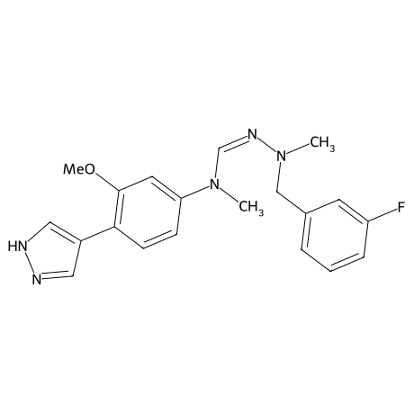 COc1cc(N(C)/C=N\N(C)Cc2cccc(F)c2)ccc1-c1cn[nH]c1